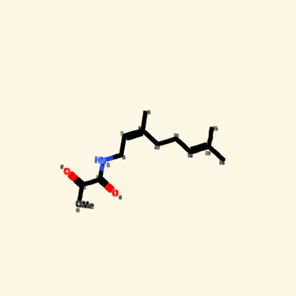 COC(=O)C(=O)NCC=C(C)CCC=C(C)C